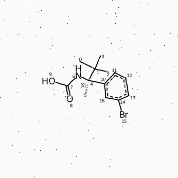 CC(C)(C)[C@](C)(NC(=O)O)c1cccc(Br)c1